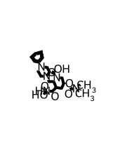 CN(C)C(=O)O[C@H]1CC(C(=O)NO)C(C(=O)N2CCN(c3ccccc3)CC2)N(C(=O)O)C1